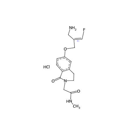 CNC(=O)CN1CCc2cc(OC/C(=C/F)CN)ccc2C1=O.Cl